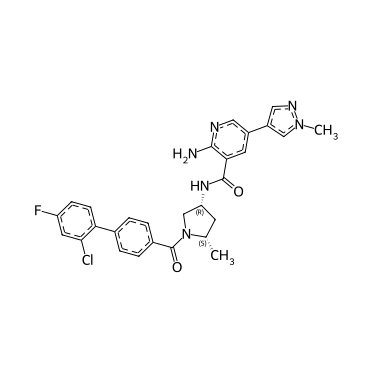 C[C@H]1C[C@@H](NC(=O)c2cc(-c3cnn(C)c3)cnc2N)CN1C(=O)c1ccc(-c2ccc(F)cc2Cl)cc1